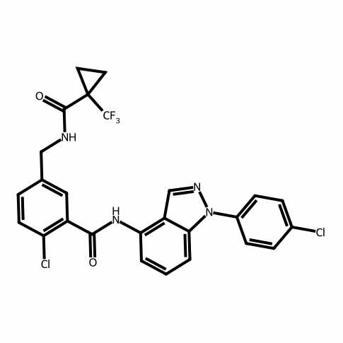 O=C(Nc1cccc2c1cnn2-c1ccc(Cl)cc1)c1cc(CNC(=O)C2(C(F)(F)F)CC2)ccc1Cl